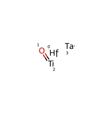 [Hf].[O]=[Ti].[Ta]